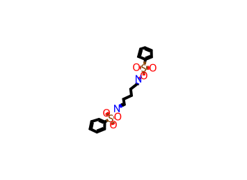 O=S(=O)(O/N=C/CCC/C=N/OS(=O)(=O)c1ccccc1)c1ccccc1